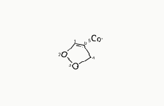 C1=COOC1.[Co]